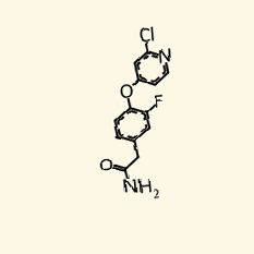 NC(=O)Cc1ccc(Oc2ccnc(Cl)c2)c(F)c1